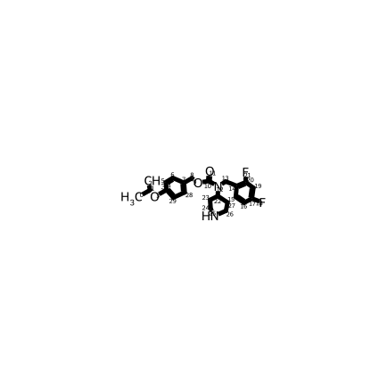 CC(C)Oc1ccc(COC(=O)N(Cc2ccc(F)cc2F)C2CCNCC2)cc1